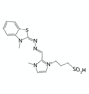 Cn1cc[n+](CCCS(=O)(=O)O)c1C=NN=c1sc2ccccc2n1C